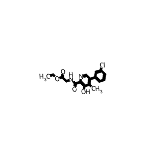 CCOC(=O)CNC(=O)c1ncc(-c2cccc(Cl)c2)c(C)c1O